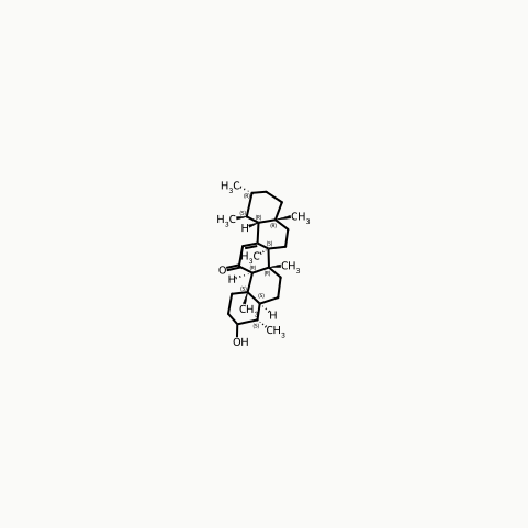 C[C@H]1[C@H](C)CC[C@]2(C)CC[C@]3(C)C(=CC(=O)[C@@H]4[C@@]5(C)CCC(O)[C@@H](C)[C@@H]5CC[C@]43C)[C@H]12